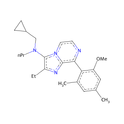 CCCN(CC1CC1)c1c(CC)nc2c(-c3c(C)cc(C)cc3OC)nccn12